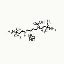 CC(C)(N)CCNCCCCN(CCC(C)(C)N)C(=O)O.Cl.Cl.Cl